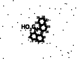 O=C(O)N(c1cccc2ccccc12)c1cccc2ccccc12